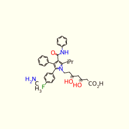 CC(C)c1c(C(=O)Nc2ccccc2)c(-c2ccccc2)c(-c2ccc(F)cc2)n1CC[C@@H](O)C[C@@H](O)CC(=O)O.CN